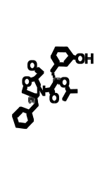 CC(C)O[C@@H](Cc1cccc(O)c1)C(=O)N1C(C=O)OC[C@@H]1Cc1ccccc1